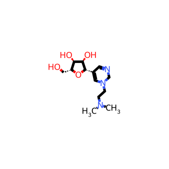 CN(C)CCN1C=C([C@@H]2O[C@H](CO)[C@@H](O)[C@H]2O)C=NC1